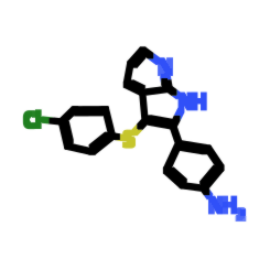 Nc1ccc(-c2[nH]c3ncccc3c2Sc2ccc(Cl)cc2)cc1